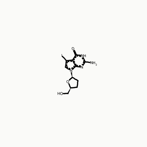 Nc1nc2c(c(I)cn2[C@H]2CC[C@@H](CO)O2)c(=O)[nH]1